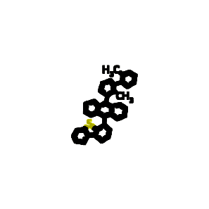 Cc1ccccc1-c1cccc(-c2c3ccccc3c(-c3cccc4c3sc3ccccc34)c3ccccc23)c1C